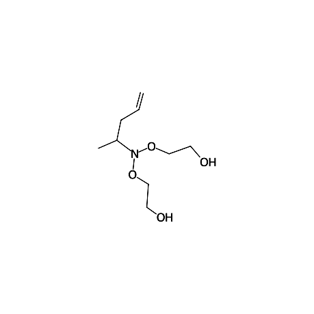 C=CCC(C)N(OCCO)OCCO